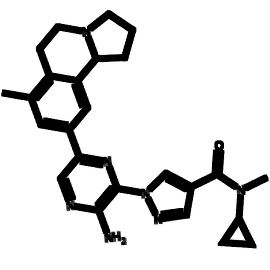 Cc1cc(-c2cnc(N)c(-n3cc(C(=O)N(C)C4CC4)cn3)n2)cc2c1CCN1CCCC21